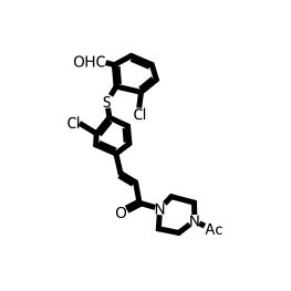 CC(=O)N1CCN(C(=O)C=Cc2ccc(Sc3c(Cl)cccc3C=O)c(Cl)c2)CC1